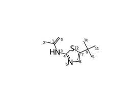 C=C(C)Nc1ncc(C(C)(C)C)s1